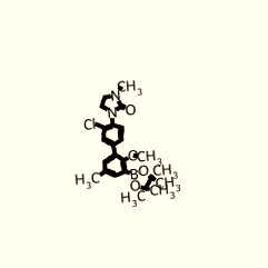 COc1c(B2OC(C)(C)C(C)(C)O2)cc(C)cc1-c1ccc(N2CCN(C)C2=O)c(Cl)c1